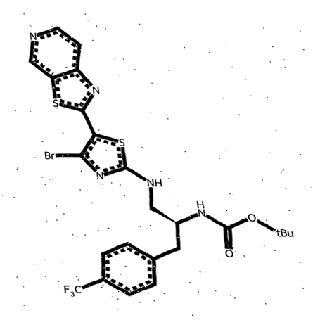 CC(C)(C)OC(=O)N[C@H](CNc1nc(Br)c(-c2nc3ccncc3s2)s1)Cc1ccc(C(F)(F)F)cc1